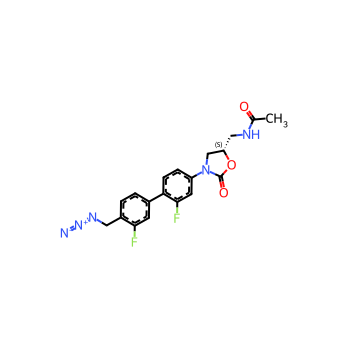 CC(=O)NC[C@H]1CN(c2ccc(-c3ccc(CN=[N+]=[N-])c(F)c3)c(F)c2)C(=O)O1